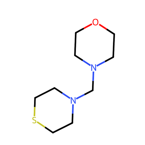 C1CN(CN2CCSCC2)CCO1